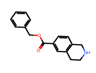 O=C(OCc1ccccc1)c1ccc2c(c1)CCNC2